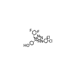 Oc1ccc(-c2cc3c(Nc4ccc(Cl)c(Cl)c4)ncnc3n2Cc2cc(F)cc(F)c2)cc1